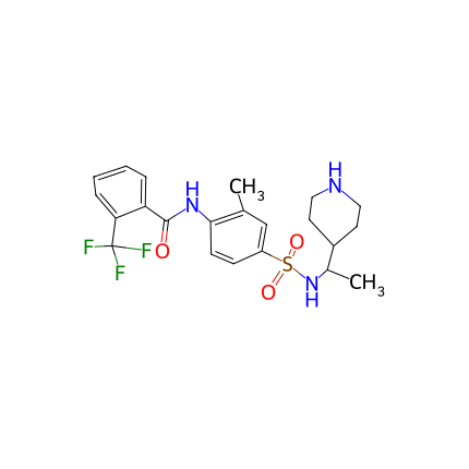 Cc1cc(S(=O)(=O)NC(C)C2CCNCC2)ccc1NC(=O)c1ccccc1C(F)(F)F